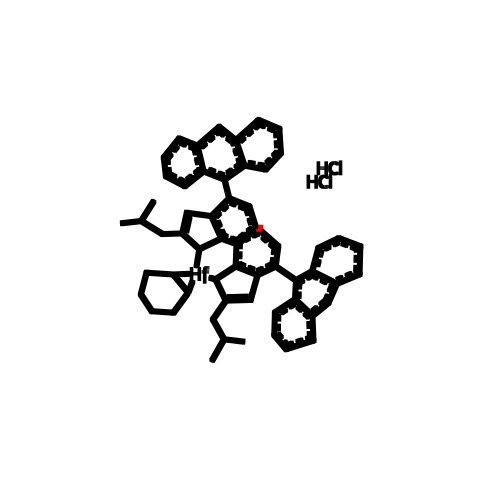 CC(C)CC1=Cc2c(-c3c4ccccc4cc4ccccc34)cccc2[CH]1[Hf]1([CH]2C(CC(C)C)=Cc3c(-c4c5ccccc5cc5ccccc45)cccc32)[CH]2CCCC[CH]21.Cl.Cl